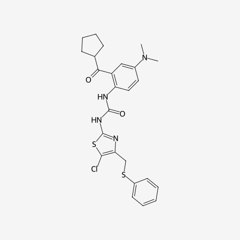 CN(C)c1ccc(NC(=O)Nc2nc(CSc3ccccc3)c(Cl)s2)c(C(=O)C2CCCC2)c1